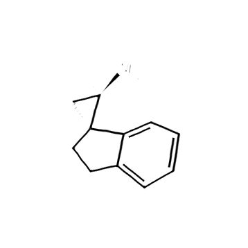 N[C@@H]1C[C@]12CCc1ccccc12